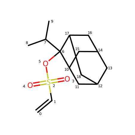 C=CS(=O)(=O)OC1(C(C)C)C2CC3CC(C2)CC1C3